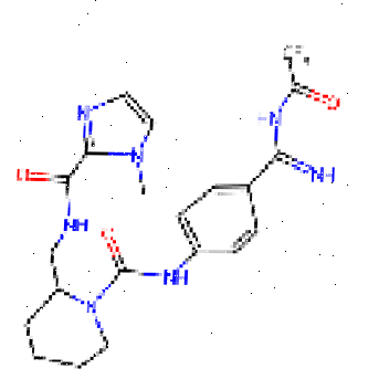 Cn1ccnc1C(=O)NCC1CCCCN1C(=O)Nc1ccc(C(=N)NC(=O)C(F)(F)F)cc1